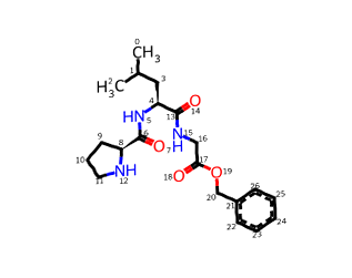 CC(C)C[C@H](NC(=O)[C@@H]1CCCN1)C(=O)NCC(=O)OCc1ccccc1